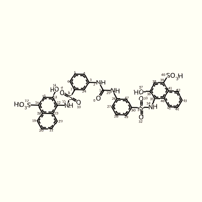 O=C(Nc1cccc(S(=O)(=O)Nc2c(O)cc(S(=O)(=O)O)c3ccccc23)c1)Nc1cccc(S(=O)(=O)Nc2c(O)cc(S(=O)(=O)O)c3ccccc23)c1